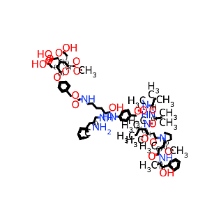 CC[C@H](C)[C@@H]([C@@H](CC(=O)N1CCC[C@H]1[C@H](OC)[C@@H](C)C(=O)N[C@H](C)[C@@H](O)c1ccccc1)OC)N(C)O[C@H](NO[C@@H](C(C)C)N(C)OOCc1ccc(NC(O)C(CCCCNC(=O)OCc2ccc(O[C@@H]3O[C@H](C(=O)OC)[C@@H](CC(=O)O)[C@H](CC(=O)O)[C@H]3CC(=O)O)cc2)NC[C@@H](N)Cc2ccccc2)cc1)C(C)C